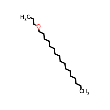 CC[CH]OCCCCCCCCCCCCCCCCC